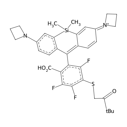 CC(C)(C)C(=O)CSc1c(F)c(F)c(C(=O)O)c(C2=C3C=CC(=[N+]4CCC4)C=C3[Si](C)(C)c3cc(N4CCC4)ccc32)c1F